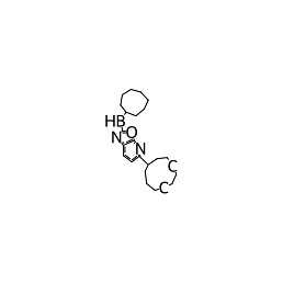 B(c1nc2ccc(C3CCCCCCCCC3)nc2o1)C1CCCCCCC1